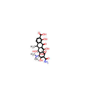 CC1c2ccc(C(=O)O)c(O)c2C(=O)C2=C(O)[C@]34OC3(O)C(C(N)=O)=C(O)[C@@H](N(C)C)C4[C@@H](O)C21